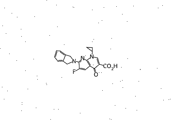 O=C(O)c1cn(C2CC2)c2nc(N3Cc4ccccc4C3)c(F)cc2c1=O